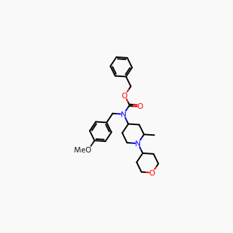 COc1ccc(CN(C(=O)OCc2ccccc2)C2CCN(C3CCOCC3)C(C)C2)cc1